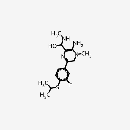 CNC(O)C1=C(N)N(C)CC(c2ccc(SC(C)C)c(F)c2)=N1